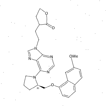 COc1ccc2cccc(OC[C@H]3CCCN3c3ncnc4c3ncn4CCC3CCOC3=O)c2c1